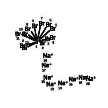 [Br][Ir-8]([Br])([Br])([Br])([Br])([Br])([Br])([Br])([Br])([Br])([Br])[Br].[Na+].[Na+].[Na+].[Na+].[Na+].[Na+].[Na+].[Na+]